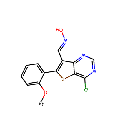 CCOc1ccccc1-c1sc2c(Cl)ncnc2c1C=NO